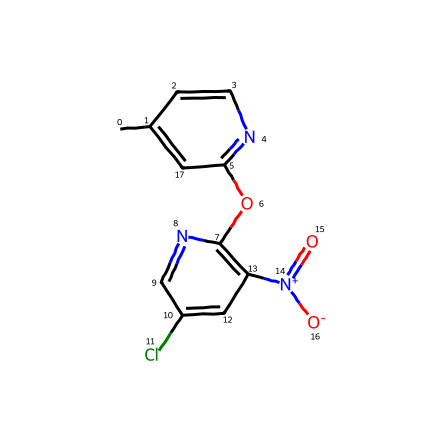 Cc1ccnc(Oc2ncc(Cl)cc2[N+](=O)[O-])c1